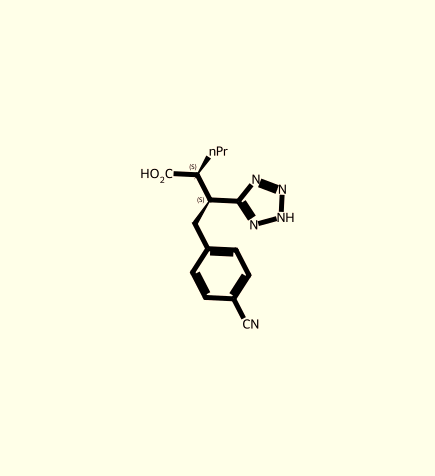 CCC[C@H](C(=O)O)[C@H](Cc1ccc(C#N)cc1)c1nn[nH]n1